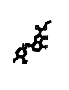 CCOC(=O)c1cc2c(Nc3ccc(F)c(Br)c3)ccc(F)c2[nH]1